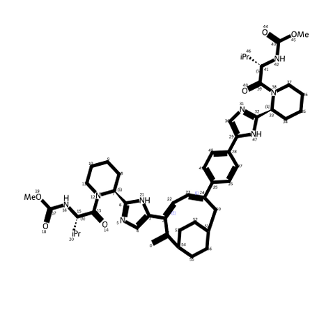 C=C1/C(c2cnc([C@@H]3CCCCN3C(=O)[C@@H](NC(=O)OC)C(C)C)[nH]2)=C\C=C(\c2ccc(-c3cnc([C@@H]4CCCCN4C(=O)[C@@H](NC(=O)OC)C(C)C)[nH]3)cc2)CC2CCC1CC2